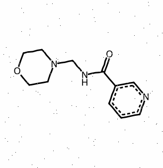 O=C(NCN1CCOCC1)c1cccnc1